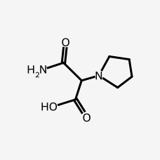 NC(=O)C(C(=O)O)N1CCCC1